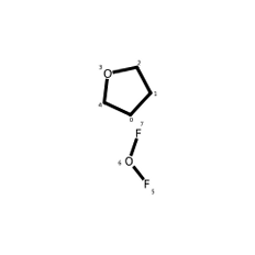 C1CCOC1.FOF